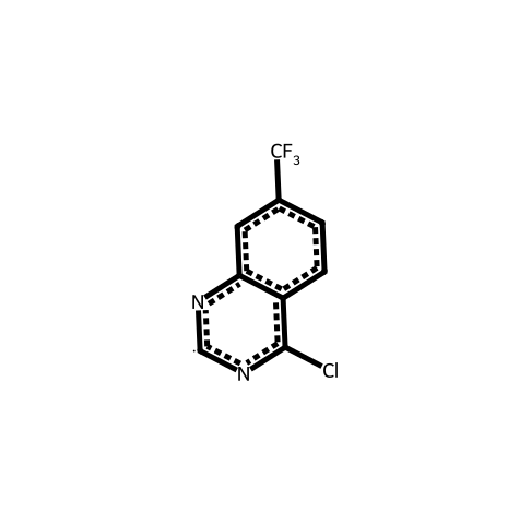 FC(F)(F)c1ccc2c(Cl)n[c]nc2c1